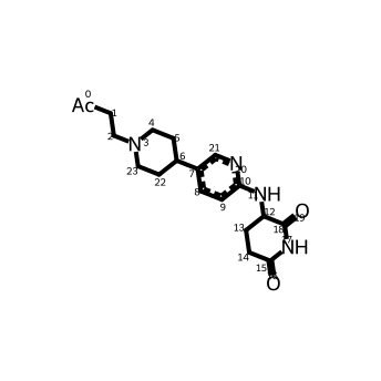 CC(=O)CCN1CCC(c2ccc(NC3CCC(=O)NC3=O)nc2)CC1